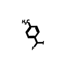 Cc1ccc(C(F)I)cc1